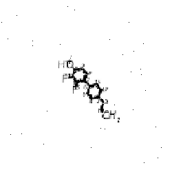 C=CCc1ccc(-c2ccc(O)c(F)c2F)cc1